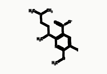 COc1nc(N(C)CCN(C)C)c([N+](=O)[O-])cc1I